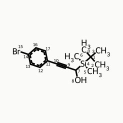 CC(C)(C)[Si](C)(C)C(O)C#Cc1ccc(Br)cc1